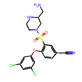 N#Cc1ccc(Oc2cc(Cl)cc(Cl)c2)c(S(=O)(=O)N2CCNC(CN)C2)c1